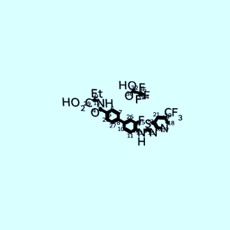 CC[C@H](NC(=O)c1ccc(-c2ccc(Nc3nc4ncc(C(F)(F)F)cc4s3)c(F)c2)cc1)C(=O)O.O=C(O)C(F)(F)F